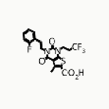 Cc1c(C(=O)O)sc2c1c(=O)n(CCc1ccccc1F)c(=O)n2CCC(F)(F)F